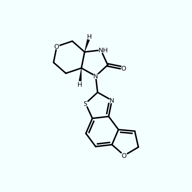 O=C1N[C@H]2COCC[C@H]2N1C1N=c2c(ccc3c2=CCO3)S1